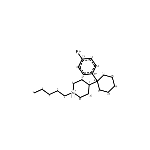 CCCCC[SiH]1CCC(C2(c3ccc(F)cc3)CCCCC2)CC1